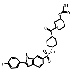 Cn1c(-c2ccc(F)cc2)cc2ccc(S(=O)(=O)N[C@H]3CC[C@H](C(=O)N4CCCC(OC(=O)O)C4)CC3)cc21